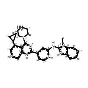 Cn1c(Nc2cc(-c3nc(N4CCNCC4)c4c(C5CC5)cncc4n3)ccn2)nc2ccccc21